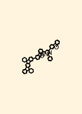 C1=C(c2ccc3c(c2)oc2ccccc23)N=C(c2ccccc2)NC1c1cccc2c1oc1ccc(-c3ccc4c(c3)-c3cc5c(cc3C43CCCCC3)-c3ccccc3C53CCCCC3)cc12